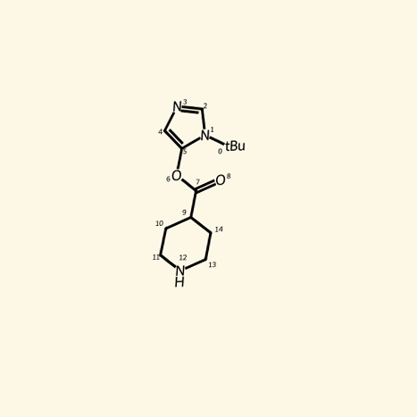 CC(C)(C)n1cncc1OC(=O)C1CCNCC1